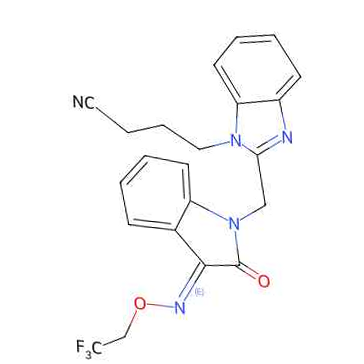 N#CCCCn1c(CN2C(=O)/C(=N/OCC(F)(F)F)c3ccccc32)nc2ccccc21